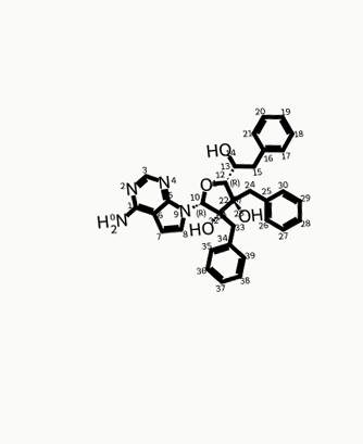 Nc1ncnc2c1ccn2[C@@H]1O[C@H](C(O)Cc2ccccc2)[C@](O)(Cc2ccccc2)[C@@]1(O)Cc1ccccc1